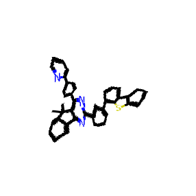 CC1(C)c2ccccc2-c2nc(-c3cccc(-c4cccc5c4sc4ccccc45)c3)nc(-c3ccc(-c4ccccn4)cc3)c21